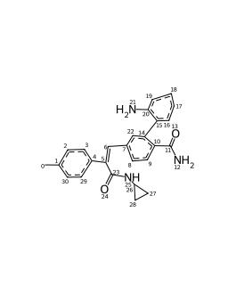 Cc1ccc(/C(=C/c2ccc(C(N)=O)c(-c3ccccc3N)c2)C(=O)NC2CC2)cc1